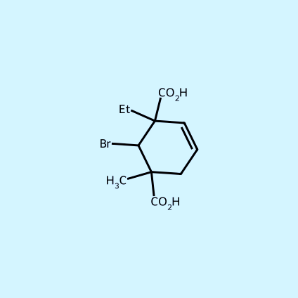 CCC1(C(=O)O)C=CCC(C)(C(=O)O)C1Br